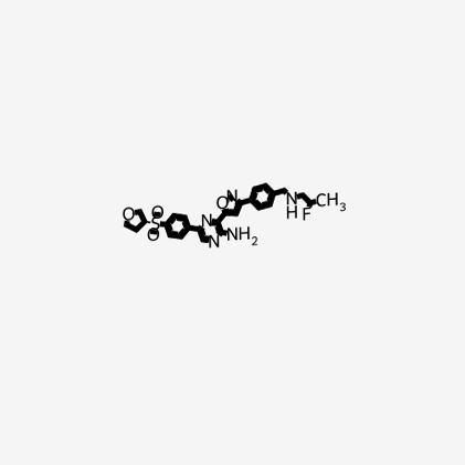 CC(F)CNCc1ccc(-c2cc(-c3nc(-c4ccc(S(=O)(=O)[C@@H]5CCOC5)cc4)cnc3N)on2)cc1